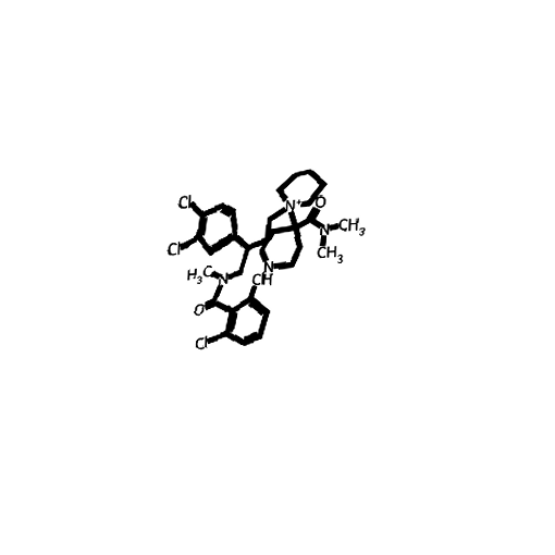 CN(C)C(=O)C1([N+]2(CCC(CN(C)C(=O)c3c(Cl)cccc3Cl)c3ccc(Cl)c(Cl)c3)CCCCC2)CCNCC1